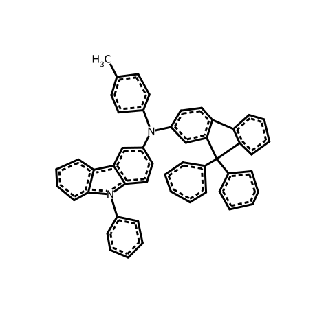 Cc1ccc(N(c2ccc3c(c2)C(c2ccccc2)(c2ccccc2)c2ccccc2-3)c2ccc3c(c2)c2ccccc2n3-c2ccccc2)cc1